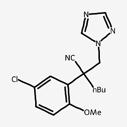 CCCCC(C#N)(Cn1cncn1)c1cc(Cl)ccc1OC